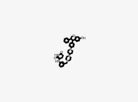 O=C1CCC(Nc2cccc(CN3CCN(C4CCN(c5ccc(C6c7ccc(O)cc7OCC6c6ccccc6)cc5)CC4)CC3)c2)C(=O)N1